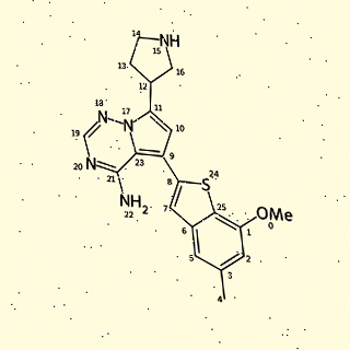 COc1cc(C)cc2cc(-c3cc(C4CCNC4)n4ncnc(N)c34)sc12